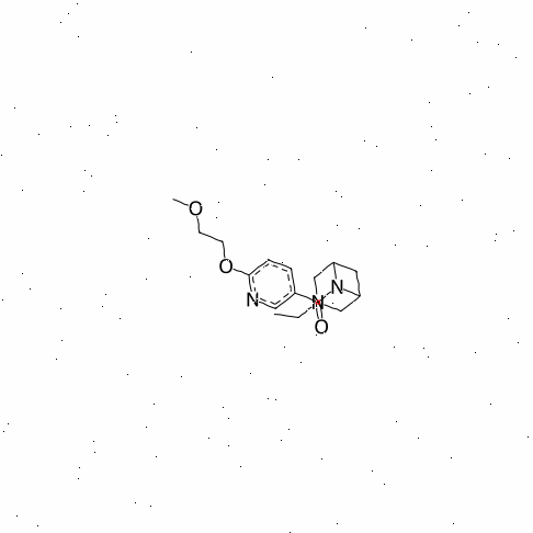 CCN1CC2CC(C1)N2C(=O)c1ccc(OCCOC)nc1